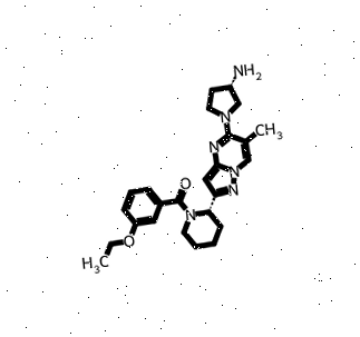 CCOc1cccc(C(=O)N2CCCC[C@H]2c2cc3nc(N4CC[C@H](N)C4)c(C)cn3n2)c1